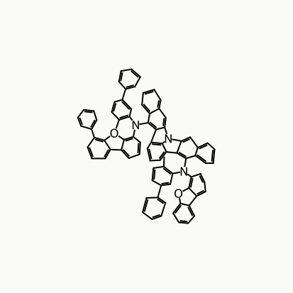 Cc1ccc(-c2ccccc2)cc1N(c1cccc2c1oc1ccccc12)c1c2ccccc2cc2c1c1cccc3c4c(N(c5cc(-c6ccccc6)ccc5C)c5cccc6c5oc5c(-c7ccccc7)cccc56)c5ccccc5cc4n2c13